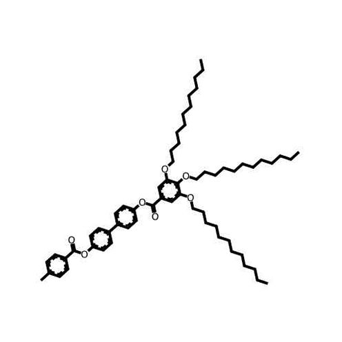 CCCCCCCCCCCCOc1cc(C(=O)Oc2ccc(-c3ccc(OC(=O)c4ccc(C)cc4)cc3)cc2)cc(OCCCCCCCCCCCC)c1OCCCCCCCCCCCC